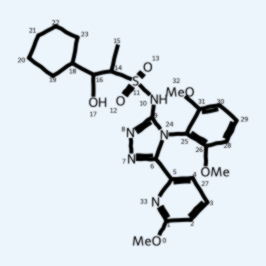 COc1cccc(-c2nnc(NS(=O)(=O)C(C)C(O)C3CCCCC3)n2-c2c(OC)cccc2OC)n1